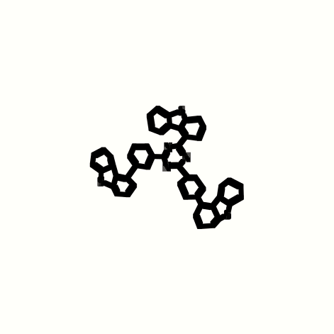 c1cc(-c2nc(-c3ccc(-c4cccc5sc6ccccc6c45)cc3)nc(-c3cccc4sc5ccccc5c34)n2)cc(-c2cccc3sc4ccccc4c23)c1